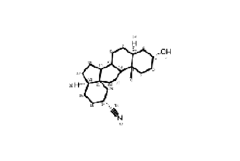 C[C@]12CC[C@@H](O)C[C@@H]1CCC1C3CC[C@@H]4CC[C@@H](C#N)C[C@]34CCC12